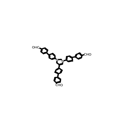 O=Cc1ccc(-c2ccc(C3=CN(c4ccc(-c5ccc(C=O)cc5)cc4)CN(c4ccc(-c5ccc(C=O)cc5)cc4)C3)cc2)cc1